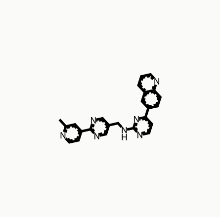 Cc1cc(-c2ncc(CNc3nccc(-c4ccc5ncccc5c4)n3)cn2)ccn1